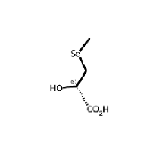 C[Se]C[C@@H](O)C(=O)O